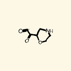 O=[C]C(=O)C1CNCCO1